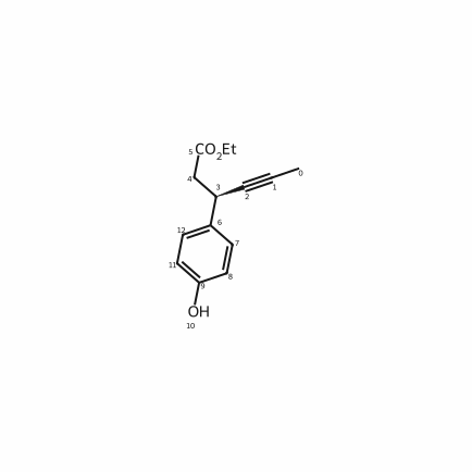 CC#C[C@H](CC(=O)OCC)c1ccc(O)cc1